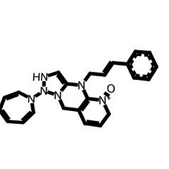 O=[N+]1CC=CC2=C1N(CC=Cc1ccccc1)C1=CNN(N3C=CC=CC=C3)N1C2